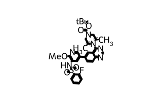 COc1ncc(-c2ccc3ncnc(N4[C@H](C)CN(C(=O)OC(C)(C)C)C[C@@H]4C)c3c2)cc1NS(=O)(=O)c1ccccc1F